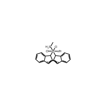 CC[CH2][Zr]([Cl])([Cl])([SiH2]C)([CH]1C(CC)=Cc2ccccc21)[CH]1C(CC)=Cc2ccccc21